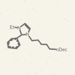 CCCCCCCCCCCCCCCN1C=CN(CC)C1c1ccccc1